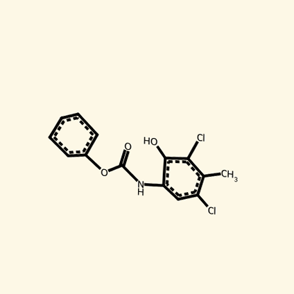 Cc1c(Cl)cc(NC(=O)Oc2ccccc2)c(O)c1Cl